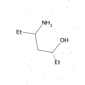 CCC(N)C[C@H](O)CC